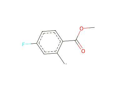 [CH2]c1cc(F)ccc1C(=O)OC